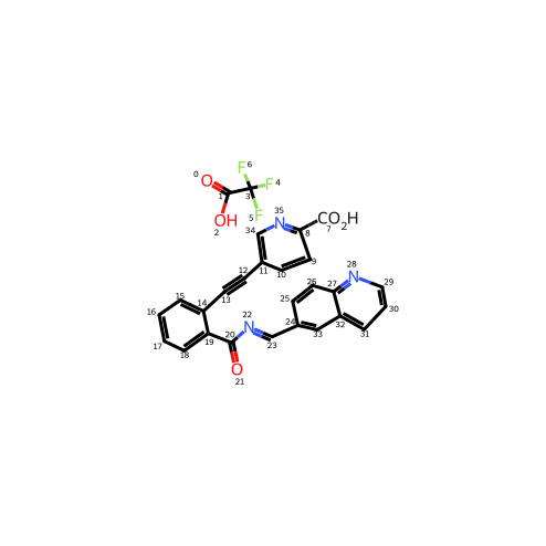 O=C(O)C(F)(F)F.O=C(O)c1ccc(C#Cc2ccccc2C(=O)N=Cc2ccc3ncccc3c2)cn1